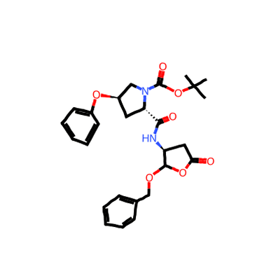 CC(C)(C)OC(=O)N1C[C@H](Oc2ccccc2)C[C@H]1C(=O)N[C@H]1CC(=O)OC1OCc1ccccc1